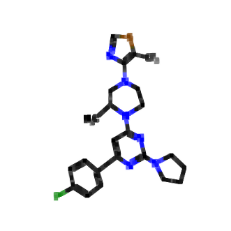 CC1CN(c2ncsc2C(F)(F)F)CCN1c1cc(-c2ccc(F)cc2)nc(N2CCCC2)n1